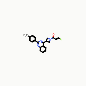 O=C(C=CF)N1CC(c2nc(-c3ccc(C(F)(F)F)cc3)nc3ccccc23)C1